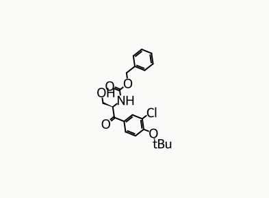 CC(C)(C)Oc1ccc(C(=O)[C@@H](CO)NC(=O)OCc2ccccc2)cc1Cl